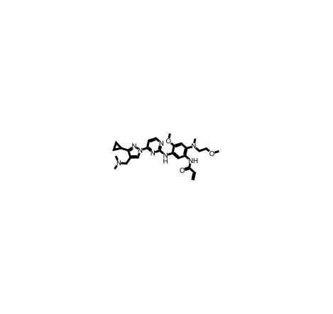 C=CC(=O)Nc1cc(Nc2nccc(-n3cc(CN(C)C)c(C4CC4)n3)n2)c(OC)cc1N(C)CCOC